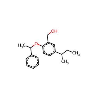 CCC(C)c1ccc(OC(C)c2ccccc2)c(CO)c1